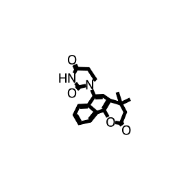 CC1(C)CC(=O)Oc2c1cc(N1CCC(=O)NC1=O)c1ccccc21